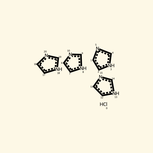 Cl.c1c[nH]cn1.c1c[nH]cn1.c1c[nH]cn1.c1c[nH]cn1